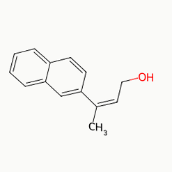 C/C(=C/CO)c1ccc2ccccc2c1